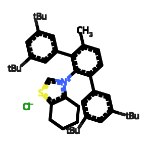 Cc1ccc(-c2cc(C(C)(C)C)cc(C(C)(C)C)c2)c(-[n+]2csc3c2CCCC3)c1-c1cc(C(C)(C)C)cc(C(C)(C)C)c1.[Cl-]